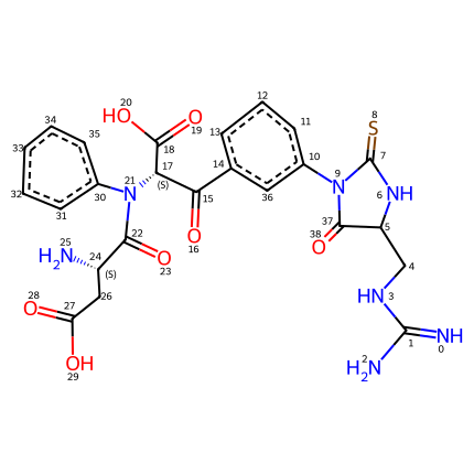 N=C(N)NCC1NC(=S)N(c2cccc(C(=O)[C@@H](C(=O)O)N(C(=O)[C@@H](N)CC(=O)O)c3ccccc3)c2)C1=O